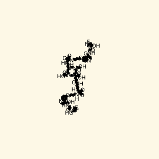 O=C(O)CN1CCN(CCNc2c(NCCCCOc3ccc4nccc(C(=O)NCC(=O)N5CC(F)(F)C[C@H]5O)c4c3)c(=O)c2=O)CCN(CC(=O)O)CCN(C(CCC(=O)NCCNc2c(NCCCCOc3ccc4nccc(C(O)NCC(=O)N5CC(F)(F)C[C@H]5O)c4c3)c(=O)c2=O)C(=O)O)CC1